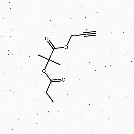 C#CCOC(=O)C(C)(C)OC(=O)[CH]C